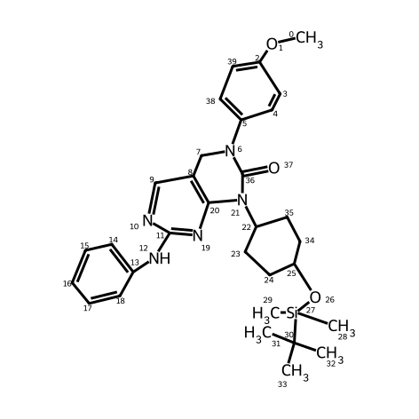 COc1ccc(N2Cc3cnc(Nc4ccccc4)nc3N(C3CCC(O[Si](C)(C)C(C)(C)C)CC3)C2=O)cc1